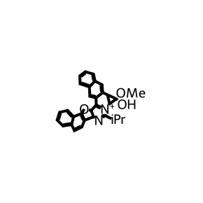 COC1(O)C2c3cc4ccccc4cc3C3=[N+](C(C(C)C)=NC4c5ccc6ccccc6c5OC34)C21